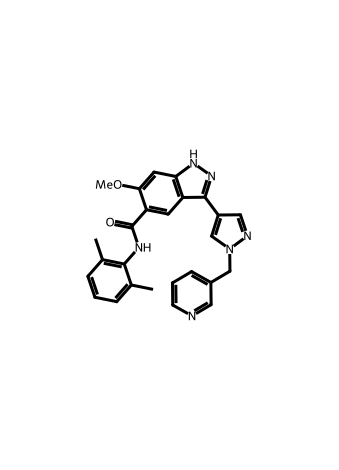 COc1cc2[nH]nc(-c3cnn(Cc4cccnc4)c3)c2cc1C(=O)Nc1c(C)cccc1C